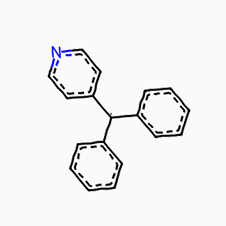 c1ccc([C](c2ccccc2)c2ccncc2)cc1